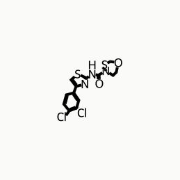 O=C(Nc1nc(-c2ccc(Cl)c(Cl)c2)cs1)N1CCOCS1